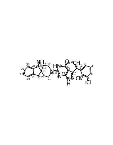 C=C(c1cccc(Cl)c1Cl)c1n[nH]c2nc(N3CCC4(CC3)Cc3ccccc3[C@H]4N)[nH]c(=O)c12